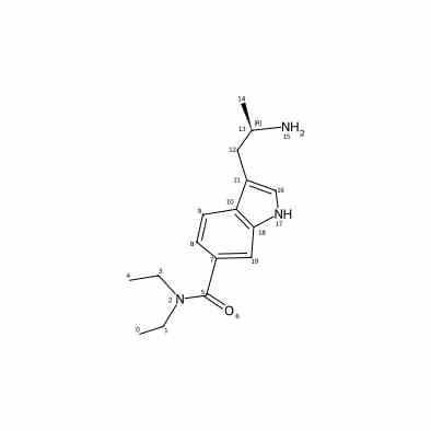 CCN(CC)C(=O)c1ccc2c(C[C@@H](C)N)c[nH]c2c1